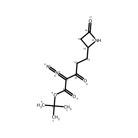 CC(C)(C)OC(=O)C(=[N+]=[N-])C(=O)CCC1CC(=O)N1